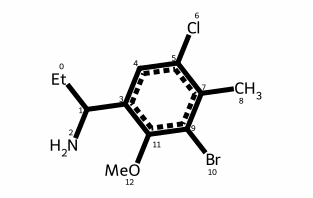 CCC(N)c1cc(Cl)c(C)c(Br)c1OC